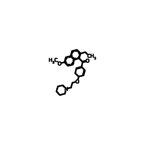 CCc1ccc2cc(OC)ccc2c1C(=O)C1=CCC(OCCN2CCCCC2)C=C1